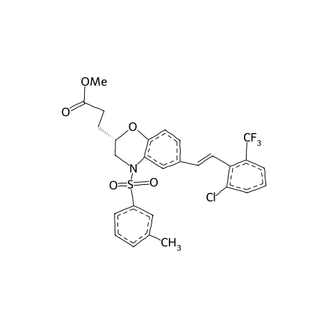 COC(=O)CC[C@H]1CN(S(=O)(=O)c2cccc(C)c2)c2cc(/C=C/c3c(Cl)cccc3C(F)(F)F)ccc2O1